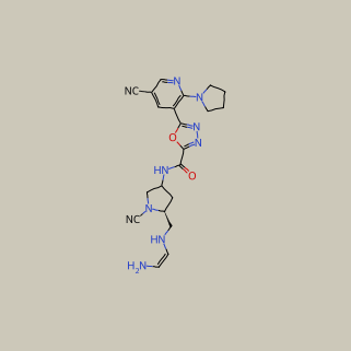 N#Cc1cnc(N2CCCC2)c(-c2nnc(C(=O)NC3C[C@@H](CN/C=C\N)N(C#N)C3)o2)c1